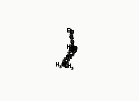 CCOCCOCCOCCNC(=O)S(=O)(=O)c1ccc(/N=N/c2ccc(N(C)C)cc2)cc1